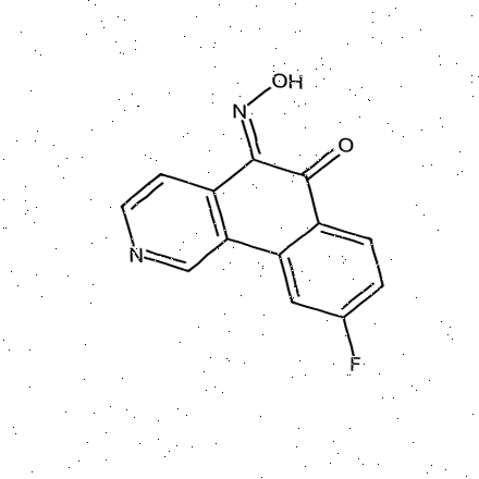 O=C1C(=NO)c2ccncc2-c2cc(F)ccc21